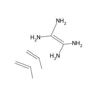 C=CC.C=CC.NC(N)=C(N)N